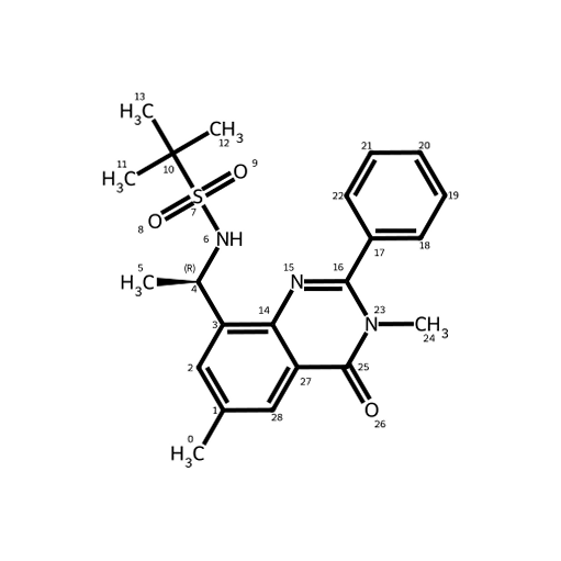 Cc1cc([C@@H](C)NS(=O)(=O)C(C)(C)C)c2nc(-c3ccccc3)n(C)c(=O)c2c1